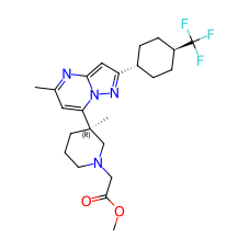 COC(=O)CN1CCC[C@@](C)(c2cc(C)nc3cc([C@H]4CC[C@H](C(F)(F)F)CC4)nn23)C1